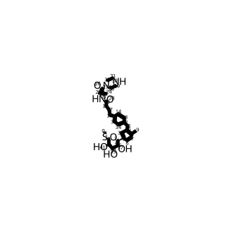 CS[C@H]1O[C@@H](c2ccc(C)c(Cc3ccc(CCCC(=O)NC(C)(C)C(=O)N4CCNCC4)cc3)c2)[C@H](O)[C@@H](O)[C@@H]1O